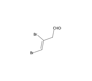 O=[C]CC(Br)=CBr